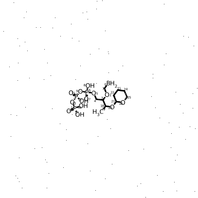 BCOC(COP(=O)(O)OP(=O)(O)OP(=O)(O)O)C(C)OC1CCCCO1